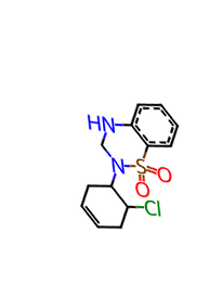 O=S1(=O)c2ccccc2NCN1C1CC=CCC1Cl